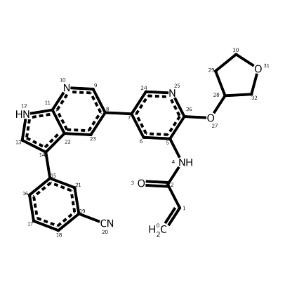 C=CC(=O)Nc1cc(-c2cnc3[nH]cc(-c4cccc(C#N)c4)c3c2)cnc1OC1CCOC1